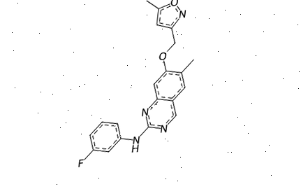 Cc1cc(COc2cc3nc(Nc4cccc(F)c4)ncc3cc2C)no1